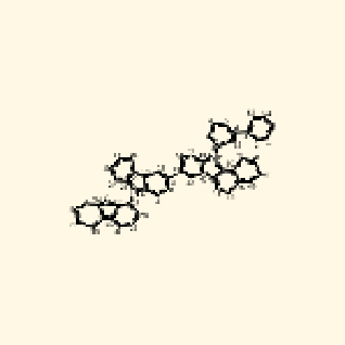 c1ccc(-c2cccc(-n3c4ccc(-c5ccc6c(c5)c5ccccc5n6-c5cccc6c5sc5ccccc56)cc4c4ccc5ccccc5c43)c2)cc1